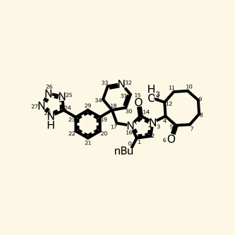 CCCCc1cn(C2C(=O)CCCCCC2C)c(=O)n1CC1(c2cccc(-c3nnn[nH]3)c2)C=CN=CC1